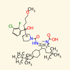 COCCCC[C@@](O)(c1cccc(Cl)c1F)[C@@H]1CCCN(C(=O)N[C@H](CN(C)C(=O)O)C(CC[Si](C)(C)C)C2CCC(C[Si](C)(C)C(C)(C)C)CC2)C1